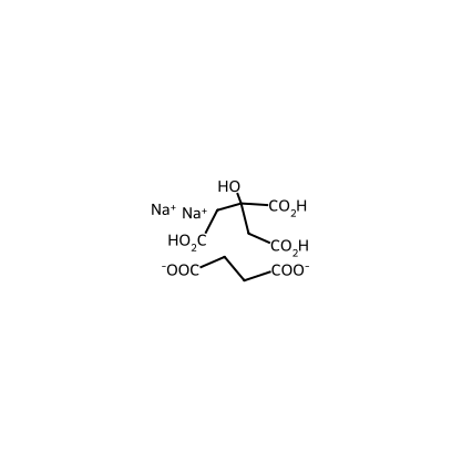 O=C(O)CC(O)(CC(=O)O)C(=O)O.O=C([O-])CCC(=O)[O-].[Na+].[Na+]